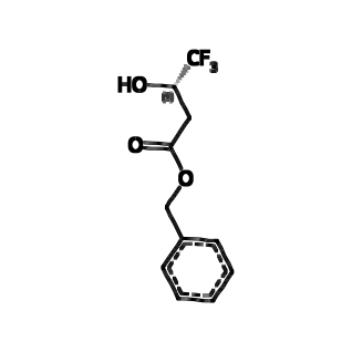 O=C(C[C@H](O)C(F)(F)F)OCc1ccccc1